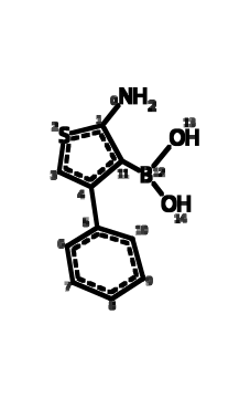 Nc1scc(-c2ccccc2)c1B(O)O